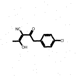 CC(O)=C(C#N)C(=O)Cc1ccc(Cl)cc1